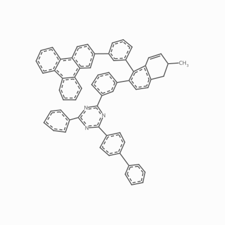 CC1C=Cc2c(ccc(-c3cccc(-c4nc(-c5ccccc5)nc(-c5ccc(-c6ccccc6)cc5)n4)c3)c2-c2cccc(-c3ccc4c5ccccc5c5ccccc5c4c3)c2)C1